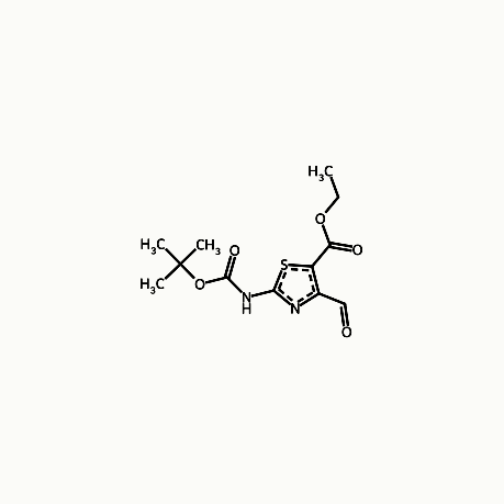 CCOC(=O)c1sc(NC(=O)OC(C)(C)C)nc1C=O